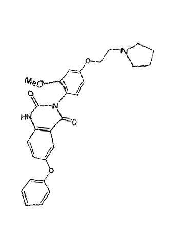 COc1cc(OCCN2CCCC2)ccc1-n1c(=O)[nH]c2ccc(Oc3ccccc3)cc2c1=O